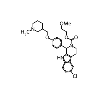 COCCOC(=O)N1CCc2c([nH]c3ccc(Cl)cc23)C1c1ccc(OCC2CCCN(C)C2)cc1